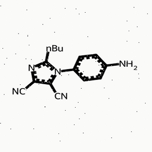 CCCCc1nc(C#N)c(C#N)n1-c1ccc(N)cc1